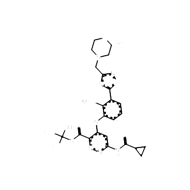 BC(B)(B)NC(=O)c1nnc(NC(=O)C2CC2)cc1Nc1cccc(-c2nc(CN3C[C@@H](C)O[C@@H](C)C3)no2)c1OC